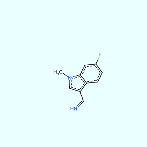 Cn1cc(C=N)c2ccc(F)cc21